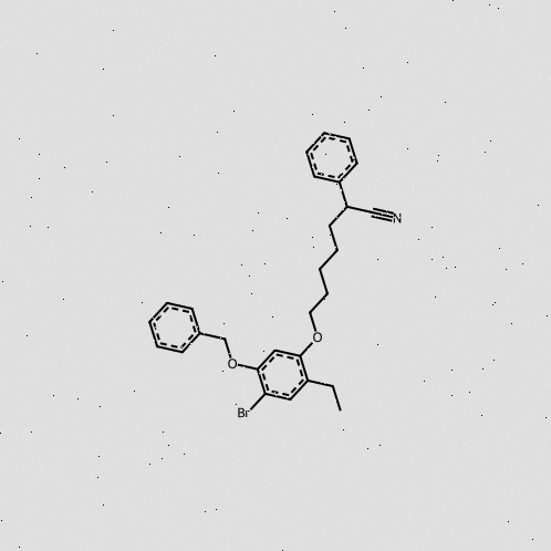 CCc1cc(Br)c(OCc2ccccc2)cc1OCCCCCC(C#N)c1ccccc1